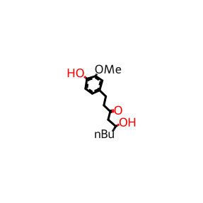 CCCCC(O)CC(=O)CCc1ccc(O)c(OC)c1